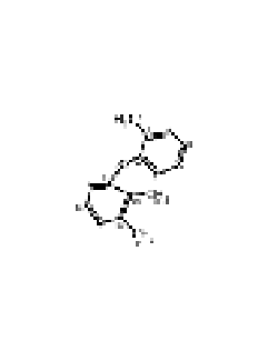 Cc1ccccc1Oc1cccc(C)c1C